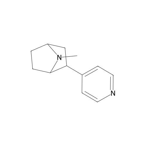 CN1C2CCC1C(c1ccncc1)C2